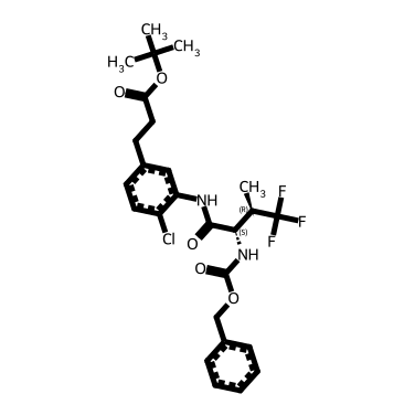 C[C@H]([C@H](NC(=O)OCc1ccccc1)C(=O)Nc1cc(CCC(=O)OC(C)(C)C)ccc1Cl)C(F)(F)F